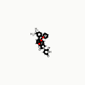 CC1(C)CCC(CN2C3CC2CN(Cc2ccc4c(c2)CN(C2CCC(=O)NC2=O)C4=O)C3)=C(c2ccc(Cl)cc2)C1